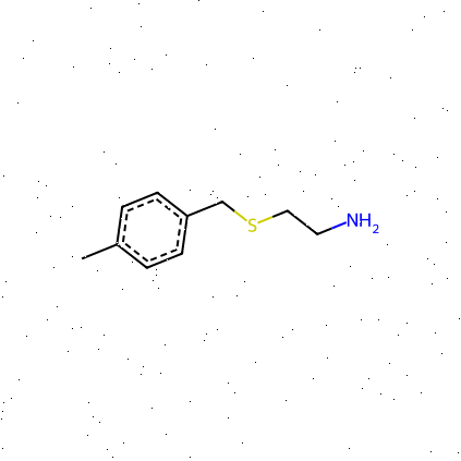 Cc1ccc(CSCCN)cc1